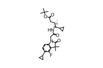 C[C@@H](CC(=O)OC(C)(C)C)[C@@H](NC(=O)CN1C(=O)C(C)(C)c2c1ccc(C1CC1)c2F)C1CC1